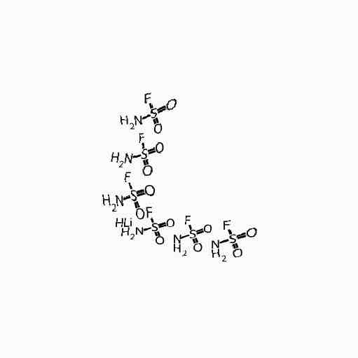 NS(=O)(=O)F.NS(=O)(=O)F.NS(=O)(=O)F.NS(=O)(=O)F.NS(=O)(=O)F.NS(=O)(=O)F.[LiH]